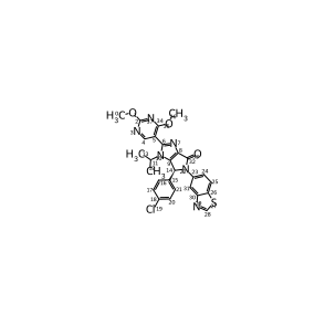 COc1ncc(-c2nc3c(n2C(C)C)[C@H](c2ccc(Cl)cc2)N(c2ccc4scnc4c2)C3=O)c(OC)n1